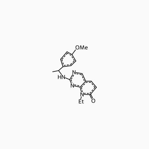 CCn1c(=O)ccc2cnc(NC(C)c3ccc(OC)cc3)nc21